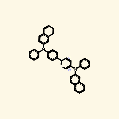 C/C=C(\C=C/C(C)c1ccc(N(c2ccccc2)c2ccc3c(c2)CCC=C3)cc1)N(c1ccccc1)c1ccc2ccccc2c1